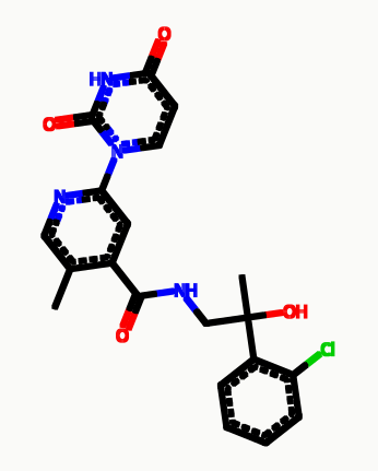 Cc1cnc(-n2ccc(=O)[nH]c2=O)cc1C(=O)NCC(C)(O)c1ccccc1Cl